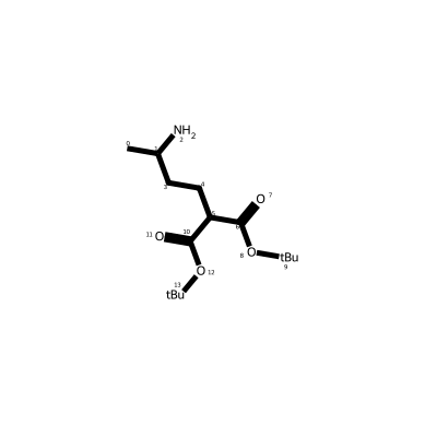 CC(N)CCC(C(=O)OC(C)(C)C)C(=O)OC(C)(C)C